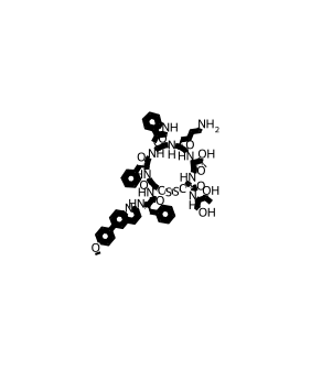 COc1ccc(-c2ccc3nc(N[C@H](Cc4ccccc4)C(=O)N[C@H]4CSSC[C@@H](C(=O)NC(CO)C(C)O)NC(=O)[C@H]([C@@H](C)O)NC(=O)[C@H](CCCCN)NC(=O)[C@@H](Cc5c[nH]c6ccccc56)NC(=O)[C@H](Cc5ccccc5)NC4=O)ccc3c2)cc1